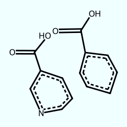 O=C(O)c1ccccc1.O=C(O)c1cccnc1